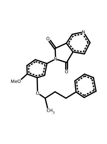 COc1ccc(N2C(=O)c3ccncc3C2=O)cc1OC(C)CCc1ccccc1